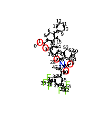 COC(=O)c1ccc(-c2ccccc2)c(C)c1-c1ccc(OC)c(C2=C(CN3C(=O)O[C@@H](c4cc(C(F)(F)F)cc(C(F)(F)F)c4)[C@H]3C)CC(C)(C)CC2)c1